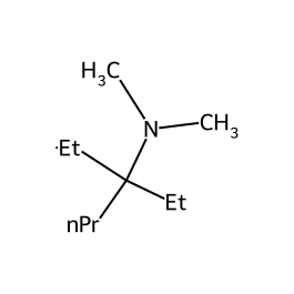 C[CH]C(CC)(CCC)N(C)C